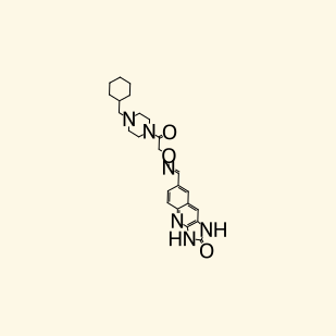 O=C(CO/N=C/c1ccc2nc3[nH]c(=O)[nH]c3cc2c1)N1CCN(CC2CCCCC2)CC1